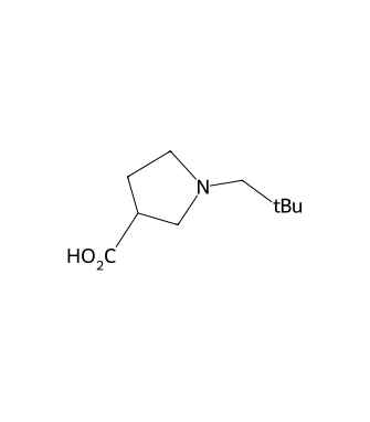 CC(C)(C)CN1CCC(C(=O)O)C1